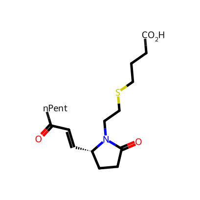 CCCCCC(=O)/C=C/[C@H]1CCC(=O)N1CCSCCCC(=O)O